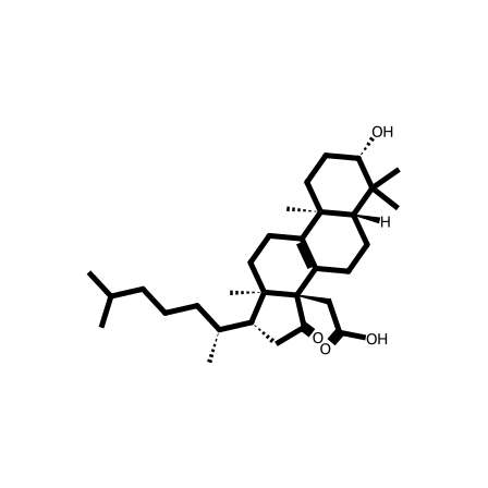 CC(C)CCC[C@@H](C)[C@H]1CC(=O)[C@@]2(CC(=O)O)C3=C(CC[C@]12C)[C@@]1(C)CC[C@H](O)C(C)(C)[C@@H]1CC3